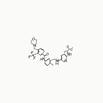 COC(=O)c1cc2cc(NCc3cc(NC(=O)c4ccc(CN5CCOCC5)c(C(F)(F)F)c4)ccc3C)cnc2[nH]1